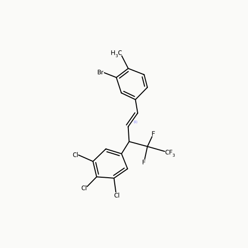 Cc1ccc(/C=C/C(c2cc(Cl)c(Cl)c(Cl)c2)C(F)(F)C(F)(F)F)cc1Br